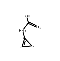 O=C(O)NC1=CC1